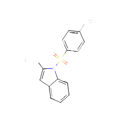 COc1ccc(S(=O)(=O)n2c(C(=O)O)cc3ccccc32)cc1